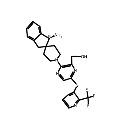 N[C@@H]1c2ccccc2CC12CCN(c1ncc(Sc3cccnc3C(F)(F)F)nc1CO)CC2